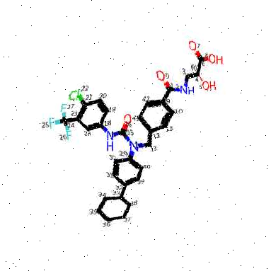 O=C(NC[C@@H](O)C(=O)O)c1ccc(CN(C(=O)Nc2ccc(Cl)c(C(F)(F)F)c2)c2ccc(C3CCCCC3)cc2)cc1